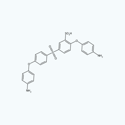 Nc1ccc(Oc2ccc(S(=O)(=O)c3ccc(Oc4ccc(N)cc4)c(S(=O)(=O)O)c3)cc2)cc1